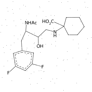 CC(=O)NC(Cc1cc(F)cc(F)c1)C(O)CNC1(C(=O)O)CCCCC1